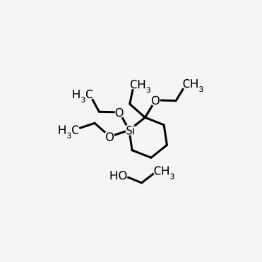 CCO.CCOC1(CC)CCCC[Si]1(OCC)OCC